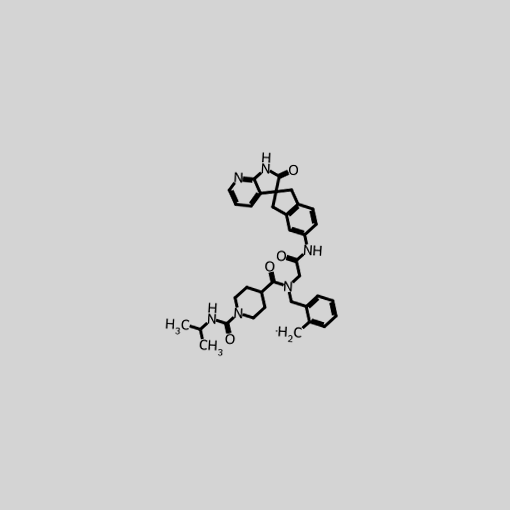 [CH2]c1ccccc1CN(CC(=O)Nc1ccc2c(c1)CC1(C2)C(=O)Nc2ncccc21)C(=O)C1CCN(C(=O)NC(C)C)CC1